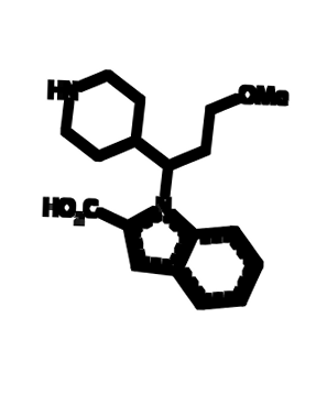 COCCC(C1CCNCC1)n1c(C(=O)O)cc2ccccc21